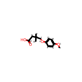 COc1ccc(OCC(C)(C)CC(=O)O)cc1